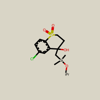 CC(C)O[Si](C)(C)CC1(O)CCS(=O)(=O)c2ccc(Cl)cc21